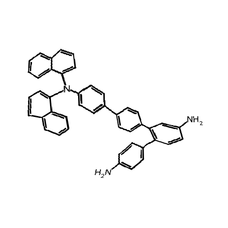 Nc1ccc(-c2ccc(N)cc2-c2ccc(-c3ccc(N(c4cccc5ccccc45)c4cccc5ccccc45)cc3)cc2)cc1